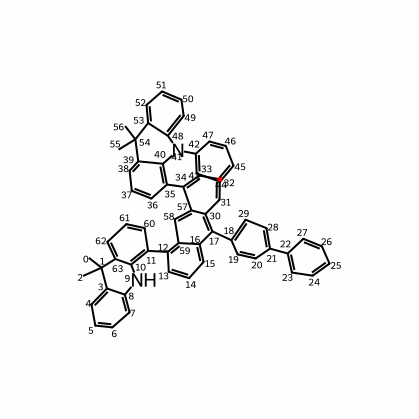 CC1(C)c2ccccc2Nc2c(-c3cccc4c(-c5ccc(-c6ccccc6)cc5)c5cccc(-c6cccc7c6N(c6ccccc6)c6ccccc6C7(C)C)c5cc34)cccc21